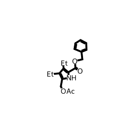 CCc1c(COC(C)=O)[nH]c(C(=O)OCc2ccccc2)c1CC